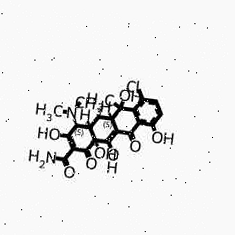 CN(C)[C@@H]1C(O)=C(C(N)=O)C(=O)[C@@]2(O)C(O)=C3C(=O)c4c(O)ccc(Cl)c4C(C)(O)[C@H]3C[C@@H]12